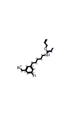 C=CCO/C(=C\C)NCCCCCc1cc(CC)cc(CBr)c1